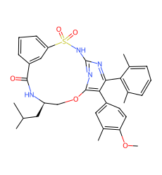 COc1ccc(-c2c3nc(nc2-c2c(C)cccc2C)NS(=O)(=O)c2cccc(c2)C(=O)N[C@H](CC(C)C)CO3)cc1C